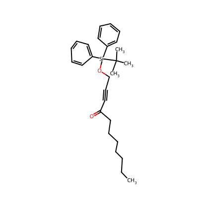 CCCCCCCC(=O)C#CCO[Si](c1ccccc1)(c1ccccc1)C(C)(C)C